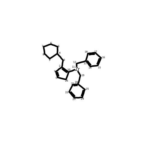 C1=CC(CC2CCCCC2)=[C]([Zr]([CH2]c2ccccc2)[CH2]c2ccccc2)C1